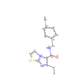 CCc1nc2sccn2c1C(=O)NCc1ccc(Br)cc1